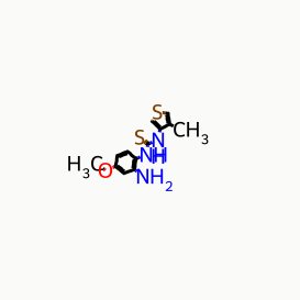 COc1ccc(NC(=S)Nc2cscc2C)c(N)c1